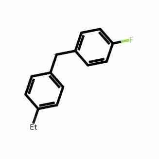 CCc1ccc([CH]c2ccc(F)cc2)cc1